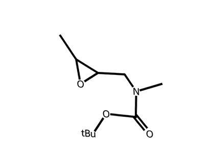 CC1OC1CN(C)C(=O)OC(C)(C)C